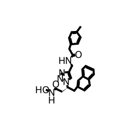 Cc1ccc(CC(=O)NCc2cn([C@@H](CC(=O)NO)Cc3ccc4ccccc4c3)nn2)cc1